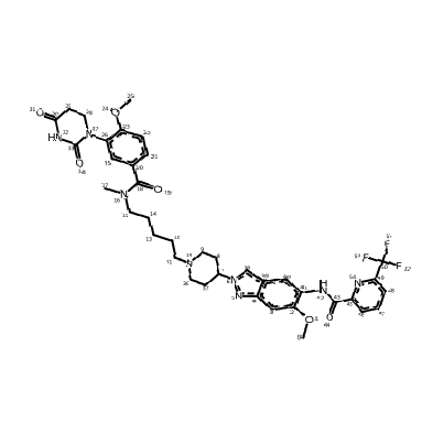 COc1cc2nn(C3CCN(CCCCCN(C)C(=O)c4ccc(OC)c(N5CCC(=O)NC5=O)c4)CC3)cc2cc1NC(=O)c1cccc(C(F)(F)F)n1